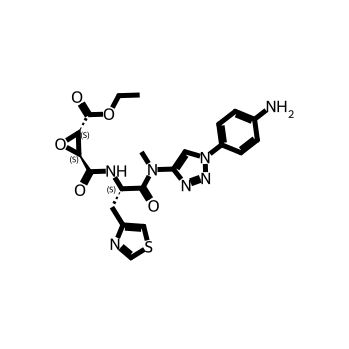 CCOC(=O)[C@H]1O[C@@H]1C(=O)N[C@@H](Cc1cscn1)C(=O)N(C)c1cn(-c2ccc(N)cc2)nn1